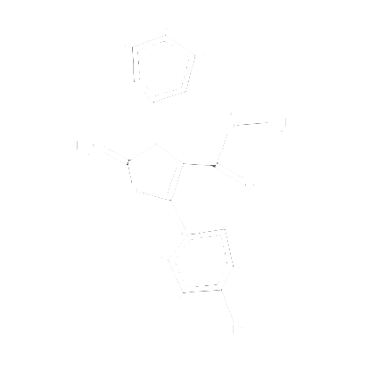 C=C1OC(c2ccc(Br)cc2)=C(C(=O)OC)[C@H]1c1ccccc1